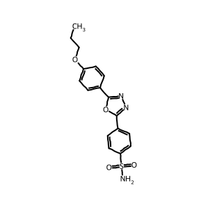 CCCOc1ccc(-c2nnc(-c3ccc(S(N)(=O)=O)cc3)o2)cc1